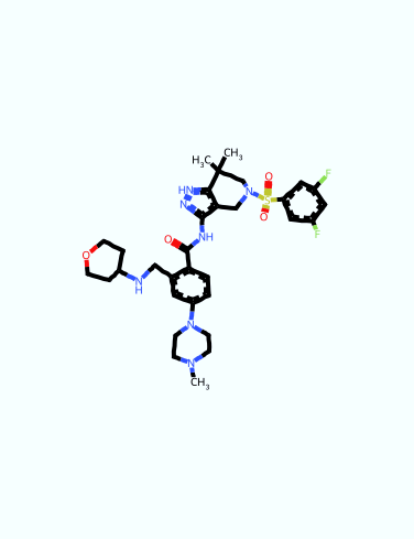 CN1CCN(c2ccc(C(=O)Nc3n[nH]c4c3CN(S(=O)(=O)c3cc(F)cc(F)c3)CC4(C)C)c(CNC3CCOCC3)c2)CC1